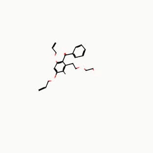 C=CCOc1cc(OCC=C)c(C(=O)c2ccccc2)c(CCOCCO)c1CC